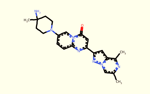 Cc1cn2nc(-c3cc(=O)n4cc(N5CCC(C)(N)CC5)ccc4n3)cc2c(C)n1